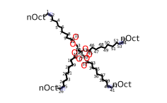 CCCCCCCC/C=C\CCCCCCCC(=O)OC[C@H](OC(=O)CCCCCCC/C=C\CCCCCCCC)[C@@H](COC(=O)CCCCCCC/C=C\CCCCCCCC)OC(=O)CCCCCCC/C=C\CCCCCCCC